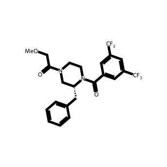 COCC(=O)N1CCN(C(=O)c2cc(C(F)(F)F)cc(C(F)(F)F)c2)[C@H](Cc2ccccc2)C1